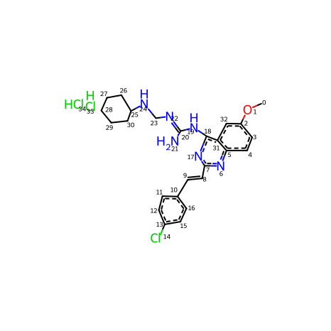 COc1ccc2nc(/C=C/c3ccc(Cl)cc3)nc(N/C(N)=N/CNC3CCCCC3)c2c1.Cl.Cl